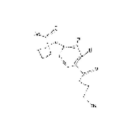 CCCCC(=O)c1ccc(OC2(C(=O)O)CCC2)c(Cl)c1Cl